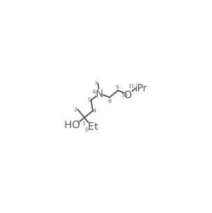 CCC(C)(O)CCN(C)CCOC(C)C